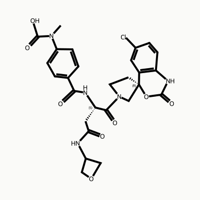 CN(C(=O)O)c1ccc(C(=O)N[C@@H](CC(=O)NC2COC2)C(=O)N2CC[C@@]3(C2)OC(=O)Nc2ccc(Cl)cc23)cc1